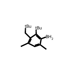 Bc1c(C)cc(C)c(CC(C)(C)C)c1C(C)(C)C